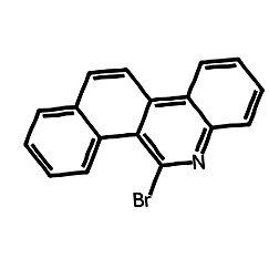 Brc1nc2ccccc2c2ccc3ccccc3c12